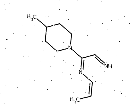 C/C=C\N=C(/C=N)N1CCC(C)CC1